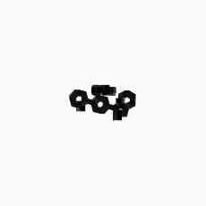 COc1cc(-c2ncc3ccccn23)ccc1-c1ccccn1